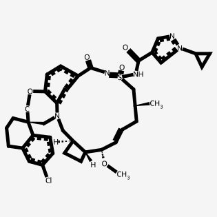 CO[C@H]1/C=C/C[C@H](C)CS(=O)(NC(=O)c2cnn(C3CC3)c2)=NC(=O)c2ccc3c(c2)N(C[C@@H]2CC[C@H]21)C[C@@]1(CCCc2cc(Cl)ccc21)CO3